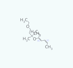 C=C/C(=C\C=C/C)OC(C)(C)CCOCC